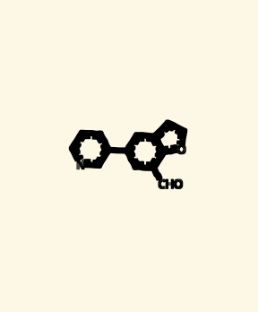 O=Cc1cc(-c2cccnc2)cc2ccoc12